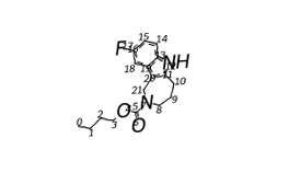 CCCCOC(=O)N1CCCc2[nH]c3ccc(F)cc3c2C1